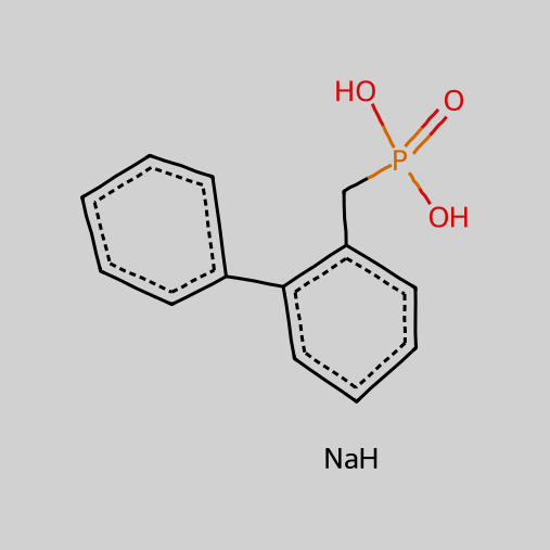 O=P(O)(O)Cc1ccccc1-c1ccccc1.[NaH]